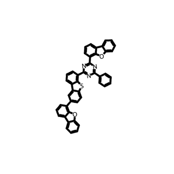 c1ccc(-c2nc(-c3cccc4c3oc3ccccc34)nc(-c3cccc4c3sc3ccc(-c5cccc6c5oc5ccccc56)cc34)n2)cc1